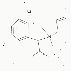 C=CC[N+](C)(C)C(c1ccccc1)C(C)C.[Cl-]